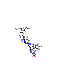 COc1ccc(-c2cnc(N)c(-c3ccc(NC(=O)c4cn5c(c(-c6ccc(F)cc6)c4=O)C(=O)N4CCOC4C5)cc3F)c2)cc1OC